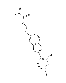 C=C(C)C(=O)OCSc1ccc2cc(-c3ccc(CC)nc3CC)sc2c1